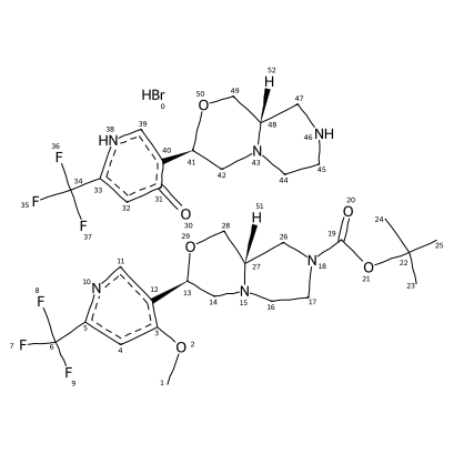 Br.COc1cc(C(F)(F)F)ncc1[C@@H]1CN2CCN(C(=O)OC(C)(C)C)C[C@H]2CO1.O=c1cc(C(F)(F)F)[nH]cc1[C@@H]1CN2CCNC[C@H]2CO1